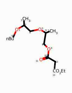 CCCCOC(C)COC(C)COC(=O)CC(=O)OCC